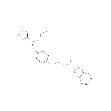 CCOC(Cc1ccc(OCCN(C)c2nc3ccccc3o2)cc1)c1ncn[nH]1